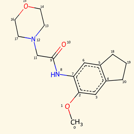 COc1cc2c(cc1NC(=O)CN1CCOCC1)CCC2